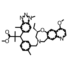 CC[C@@H]1CN(Cc2cc(C(c3ccc4c(nnn4C)c3C)C(C)(C)C(=O)OC)ccc2C)Cc2cc3nccc(OC)c3cc2O1